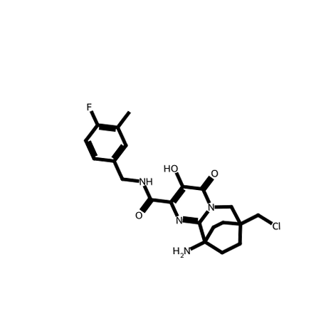 Cc1cc(CNC(=O)c2nc3n(c(=O)c2O)CC2(CCl)CCC3(N)CC2)ccc1F